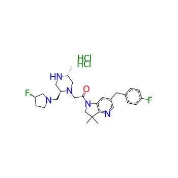 C[C@@H]1CN(CC(=O)N2CC(C)(C)c3ncc(Cc4ccc(F)cc4)cc32)[C@@H](CN2CC[C@@H](F)C2)CN1.Cl.Cl